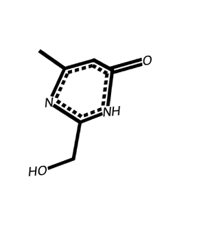 Cc1cc(=O)[nH]c(CO)n1